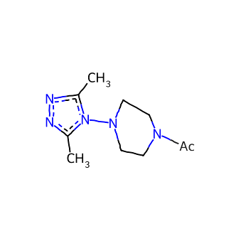 CC(=O)N1CCN(n2c(C)nnc2C)CC1